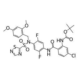 COc1ccc(CN(c2cc(F)c(NC(=O)c3ccc(Cl)cc3NC(=O)OC(C)(C)C)cc2F)S(=O)(=O)c2ncns2)c(OC)c1